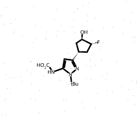 CC(C)(C)n1nc([C@@H]2C[C@@H](O)[C@H](F)C2)cc1NC(=O)O